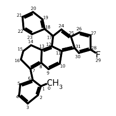 Cc1ccccc1C1=c2ccc3c(c2CCC1)C(c1ccccc1)C=c1ccc(F)cc1=3